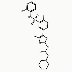 Cc1ccc(-c2sc(NC(=O)CC3CCOCC3)nc2C)cc1S(=O)(=O)Nc1ccccc1F